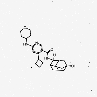 O=C(N[C@H]1C2CC3CC1C[C@@](O)(C3)C2)c1cnc(NC2CCOCC2)nc1C1CCC1